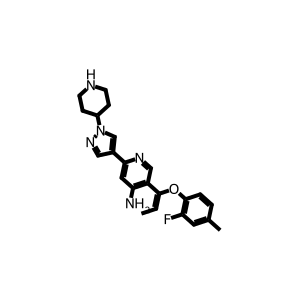 C/C=C(/Oc1ccc(C)cc1F)c1cnc(-c2cnn(C3CCNCC3)c2)cc1N